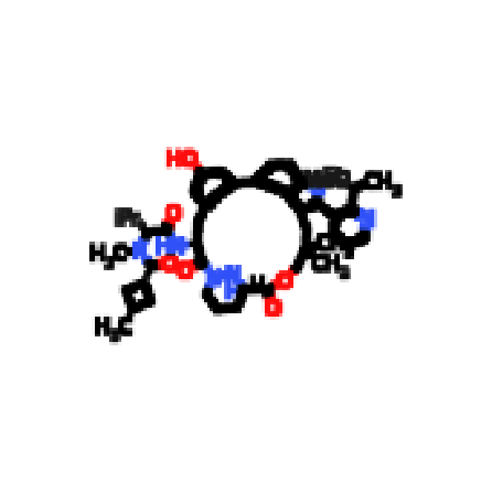 CCn1c(-c2cccnc2[C@H](C)OC)c2c3cc(ccc31)-c1cc(O)cc(c1)C[C@H](NC(=O)[C@H](C(C)C)N(C)C(=O)[C@H]1C[C@@H](C)C1)C(=O)N1CCC[C@H](N1)C(=O)OCC(C)(C)C2